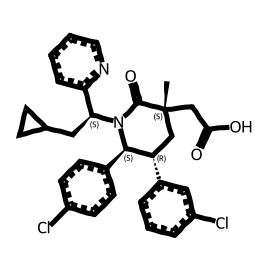 C[C@@]1(CC(=O)O)C[C@H](c2cccc(Cl)c2)[C@@H](c2ccc(Cl)cc2)N([C@@H](CC2CC2)c2ccccn2)C1=O